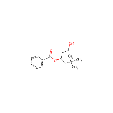 CC(C)(C)CC(CCO)OC(=O)c1ccccc1